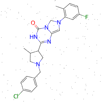 Cc1ccc(F)cc1N1C=C2N=C(C3CN(Cc4ccc(Cl)cc4)CC3C)NC(=O)N2C1